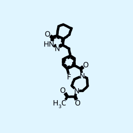 CC(=O)C(=O)N1CCCN(C(=O)c2cc(Cc3n[nH]c(=O)c4c3CCCC4)ccc2F)CC1